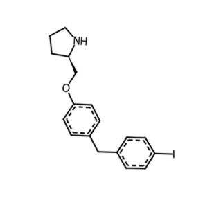 Ic1ccc(Cc2ccc(OC[C@H]3CCCN3)cc2)cc1